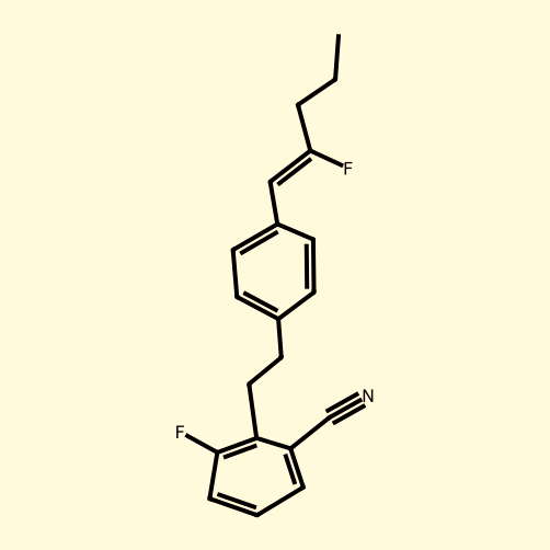 CCCC(F)=Cc1ccc(CCc2c(F)cccc2C#N)cc1